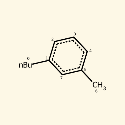 CCCCc1c[c]cc(C)c1